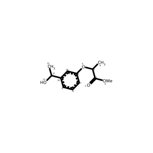 COC(=O)C(C)Oc1cccc(C(C)O)c1